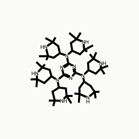 CC1(C)CC(N(c2nc(N(C3CC(C)(C)NC(C)(C)C3)C3CC(C)(C)NC(C)(C)C3)nc(N(C3CC(C)(C)NC(C)(C)C3)C3CC(C)(C)NC(C)(C)C3)n2)C2CC(C)(C)NC(C)(C)C2)CC(C)(C)N1